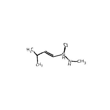 CN[SiH](Cl)C=CC(C)C